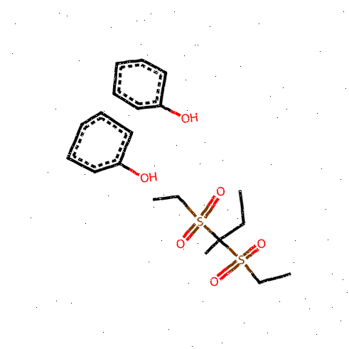 CCC(C)(S(=O)(=O)CC)S(=O)(=O)CC.Oc1ccccc1.Oc1ccccc1